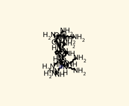 N=C(N)NCC/C=C(\NC(=O)[C@H](CCCCN)NC(=O)C(Cc1cnc[nH]1)NC(=O)[C@@H]1CCCN1C(=O)[C@@H](CCCN)NC(=O)CNC(=O)[C@H](CCN)NC(=O)[C@H](CCN)NC(=O)C(N)CCCCN)C(=O)N[C@@H](CCCCN)C(=O)NCCCCN